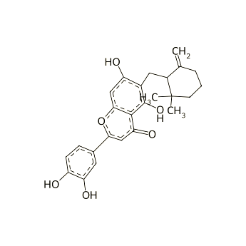 C=C1CCCC(C)(C)C1Cc1c(O)cc2oc(-c3ccc(O)c(O)c3)cc(=O)c2c1O